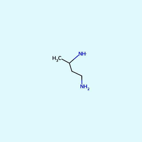 CC([NH])CCN